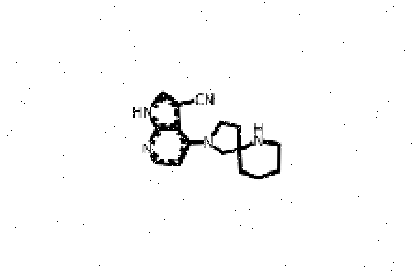 N#Cc1c[nH]c2nccc(N3CCC4(CCCCN4)C3)c12